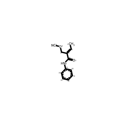 CC=C(COC#N)C(=O)Nc1ccccc1